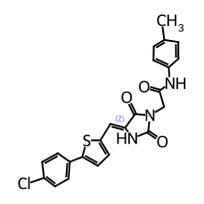 Cc1ccc(NC(=O)CN2C(=O)N/C(=C\c3ccc(-c4ccc(Cl)cc4)s3)C2=O)cc1